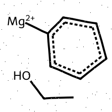 CCO.[Mg+2][c]1ccccc1